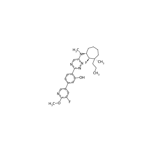 CCC[C@]1(C)CCCC[C@H](N(C)c2cnc(-c3ccc(-c4cnc(OC)c(F)c4)cc3O)nn2)[C@@H]1F